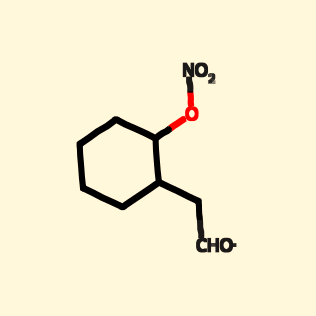 O=[C]CC1CCCCC1O[N+](=O)[O-]